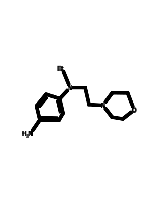 CCN(CCN1CCOCC1)c1ccc(N)cc1